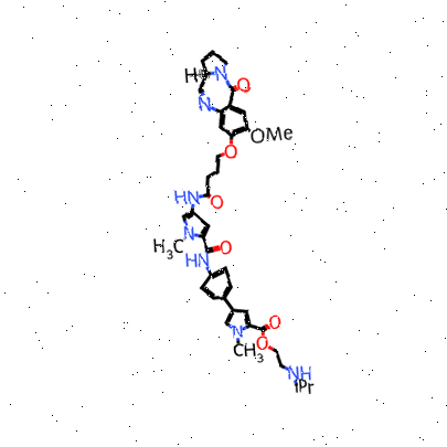 COc1cc2c(cc1OCCCC(=O)Nc1cc(C(=O)Nc3ccc(-c4cc(C(=O)OCCNC(C)C)n(C)c4)cc3)n(C)c1)N=C[C@H]1CCCN1C2=O